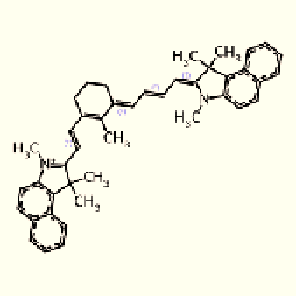 CC1=C(/C=C/C2=[N+](C)c3ccc4ccccc4c3C2(C)C)CCC\C1=C/C=C/C=C1\N(C)c2ccc3ccccc3c2C1(C)C